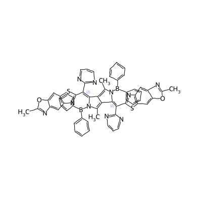 Cc1nc2cc3nc(/C(c4ncccn4)=c4/c5c(C)n(B(c6ccccc6)c6ccccc6)/c(=C(/c6ncccn6)c6nc7cc8nc(C)oc8cc7s6)c5c(C)n4B(c4ccccc4)c4ccccc4)sc3cc2o1